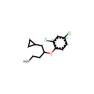 CNCCC(CC1CC1)Oc1ccc(Cl)cc1Cl